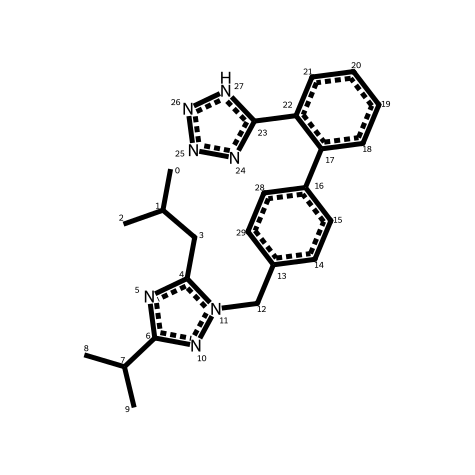 CC(C)Cc1nc(C(C)C)nn1Cc1ccc(-c2ccccc2-c2nnn[nH]2)cc1